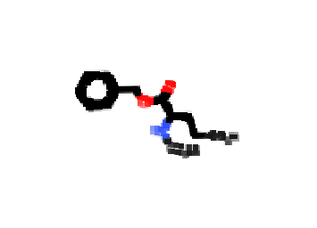 CCOC(=O)NC(CCC(=O)O)C(=O)OCc1ccccc1